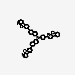 c1ccc2c(c1)oc1nc(-c3ccc(N(c4ccc5cc(-c6ccc7c(c6)oc6ncccc67)ccc5c4)c4ccc5cc(-c6ccc7c(c6)oc6ncccc67)ccc5c4)cc3)ccc12